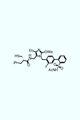 CCc1nc(OC)n(Cc2ccc(-c3ccccc3S(=O)(=O)NC(C)=O)cc2F)c1CNC(=O)[C@@H](CS)CC(C)C